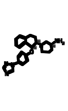 N[C@H]1CCCN([C@H]2CCc3ccccc3[C@@H]2Oc2ccc(-n3cncn3)cc2)C1